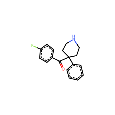 O=C(c1ccc(F)cc1)C1(c2ccccc2)CCNCC1